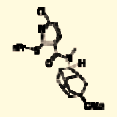 CCCSc1nc(Cl)ccc1C(=O)N(C)[C@H]1C2CC3CC1C[C@@](OC)(C3)C2